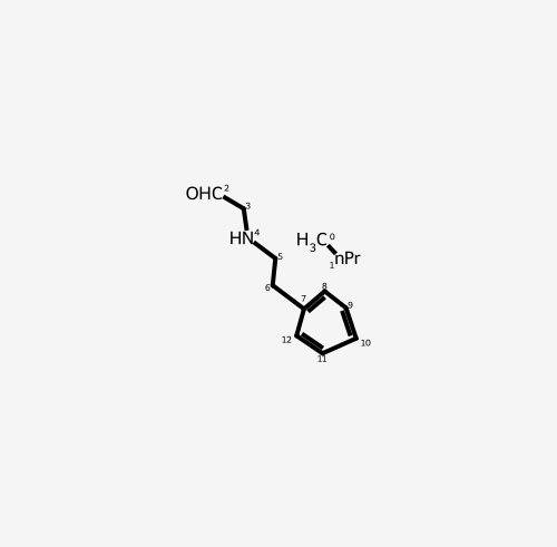 CCCC.O=CCNCCc1ccccc1